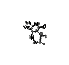 Cc1nnc(S)c(C(N)=O)c1C